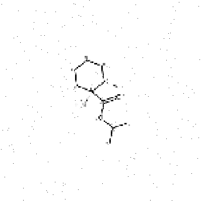 CC(C)OC(=O)[C@@]1(N)CCCC[C@@H]1C